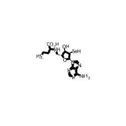 Nc1ncnc2c1ncn2[C@@H]1O[C@H](CNC(CCS)C(=O)O)[C@@H](O)[C@H]1[SeH]